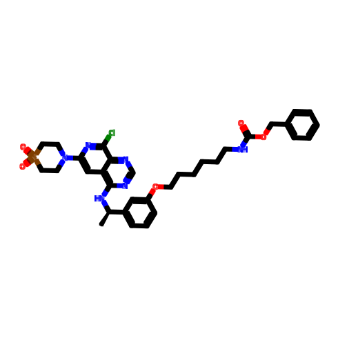 C[C@@H](Nc1ncnc2c(Cl)nc(N3CCS(=O)(=O)CC3)cc12)c1cccc(OCCCCCCNC(=O)OCc2ccccc2)c1